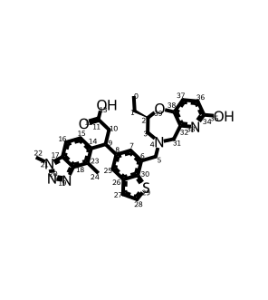 CC[C@@H]1CN(Cc2cc(C(CC(=O)O)c3ccc4c(nnn4C)c3C)cc3ccsc23)Cc2nc(O)ccc2O1